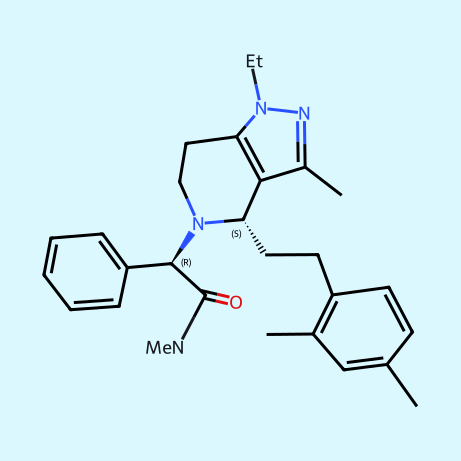 CCn1nc(C)c2c1CCN([C@@H](C(=O)NC)c1ccccc1)[C@H]2CCc1ccc(C)cc1C